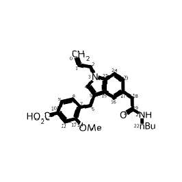 C=CCn1cc(Cc2ccc(C(=O)O)cc2OC)c2cc(CC(=O)NCCCC)ccc21